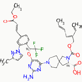 C=CC(=CC=CC)COC(=O)N1CC2(CCN(c3cc(O[C@H](c4ccc(C=CC(=O)OCC)cc4-n4ccc(C)n4)C(F)(F)F)nc(N)n3)CC2)C[C@H]1C(=O)O